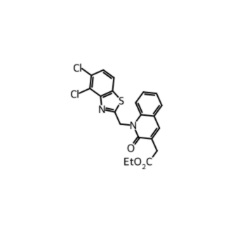 CCOC(=O)Cc1cc2ccccc2n(Cc2nc3c(Cl)c(Cl)ccc3s2)c1=O